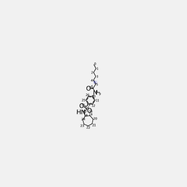 CCCC/C=C/C(=O)N(C)c1ccc(S(=O)(=O)NC2CCCCCC2)cc1